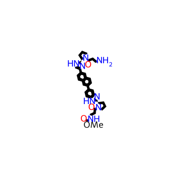 COC(=O)NCCC(=O)N1CCC[C@H]1c1nc2cc(-c3ccc4cc(-c5c[nH]c([C@@H]6CCCN6C(=O)CCN)n5)ccc4c3)ccc2[nH]1